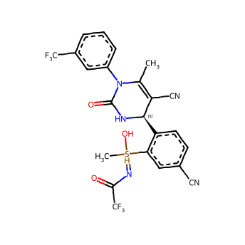 CC1=C(C#N)[C@@H](c2ccc(C#N)cc2[SH](C)(O)=NC(=O)C(F)(F)F)NC(=O)N1c1cccc(C(F)(F)F)c1